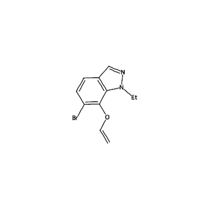 C=COc1c(Br)ccc2cnn(CC)c12